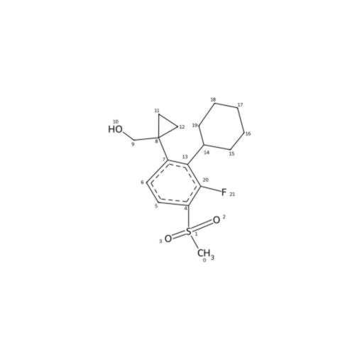 CS(=O)(=O)c1ccc(C2(CO)CC2)c(C2CCCCC2)c1F